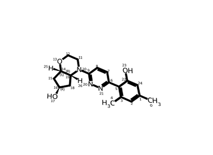 Cc1cc(C)c(-c2ccc(N3CCO[C@H]4C[C@H](O)C[C@H]43)nn2)c(O)c1